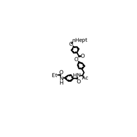 CCCCCCCOc1ccc(C(=O)Oc2ccc(C[C@H](NC(=O)c3ccc(NC(=O)CC)cc3)C(C)=O)cc2)cc1